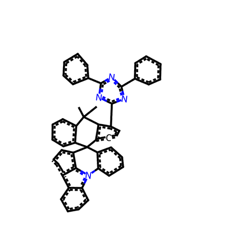 CC1(C)c2ccccc2C2(c3ccccc3-n3c4ccccc4c4cccc2c43)c2cccc(-c3nc(-c4ccccc4)nc(-c4ccccc4)n3)c21